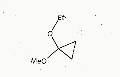 C[CH]OC1(OC)CC1